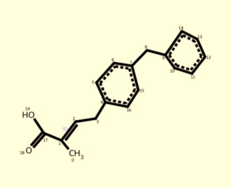 C/C(=C\Cc1ccc(Cc2ccccc2)cc1)C(=O)O